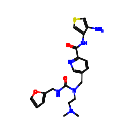 CN(C)CCN(Cc1ccc(C(=O)Nc2cscc2N)nc1)C(=O)NCc1ccco1